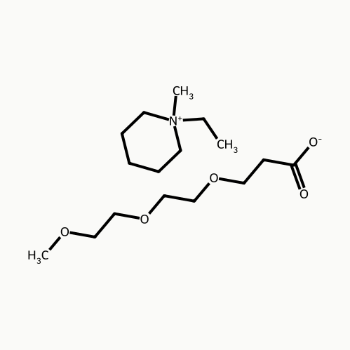 CC[N+]1(C)CCCCC1.COCCOCCOCCC(=O)[O-]